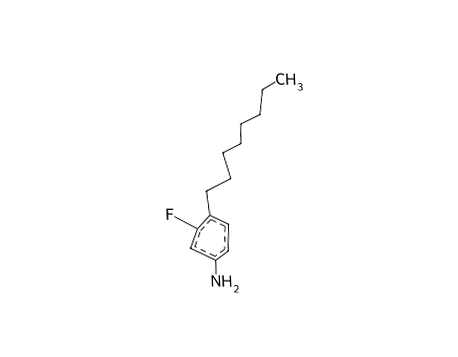 CCCCCCCCc1ccc(N)cc1F